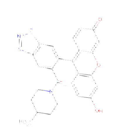 O=C(O)C1CCN(C(=O)c2cc3nn[nH]c3cc2-c2c3ccc(=O)cc-3oc3cc(O)ccc23)CC1